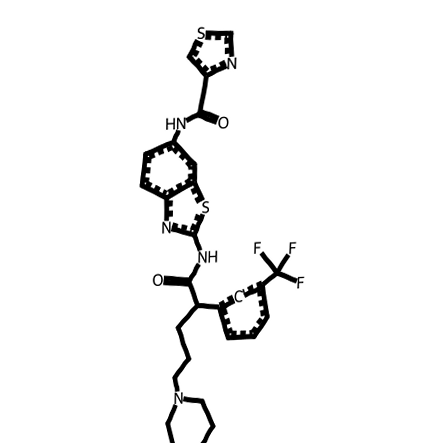 O=C(Nc1ccc2nc(NC(=O)C(CCCN3CCOCC3)c3cccc(C(F)(F)F)c3)sc2c1)c1cscn1